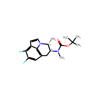 C[C@@H]1[C@@H](N(C)C(=O)OC(C)(C)C)Cc2cc(F)c(F)c3ccn1c23